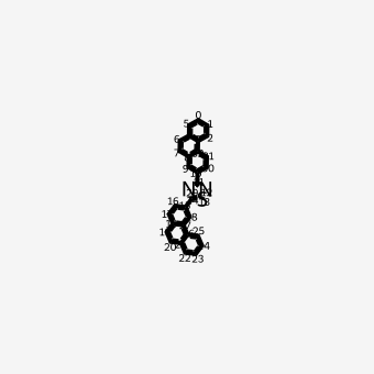 c1ccc2c(c1)ccc1cc(-c3nsc(-c4ccc5ccc6ccccc6c5c4)n3)ccc12